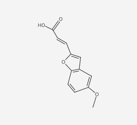 COc1ccc2oc(/C=C/C(=O)O)cc2c1